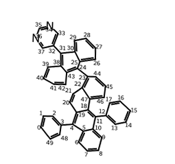 c1ccc(-c2c3ccccc3c(-c3ccccc3)c3c2ccc2c(-c4c5ccccc5c(-c5cncnc5)c5ccccc45)cccc23)cc1